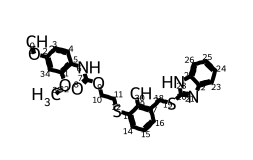 COc1ccc(NC(=O)OCCSc2cccc(CSc3nc4ccccc4[nH]3)c2C)c(OC)c1